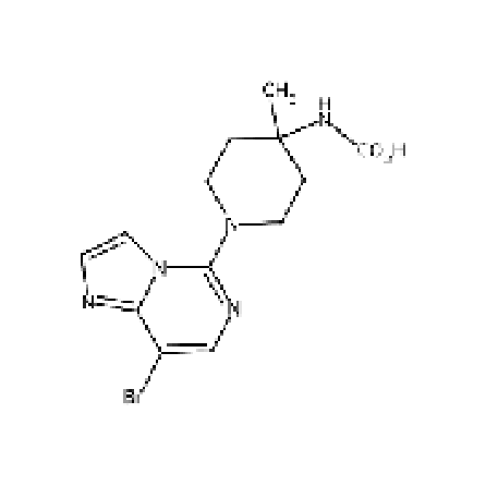 CC1(NC(=O)O)CCN(c2ncc(Br)c3nccn23)CC1